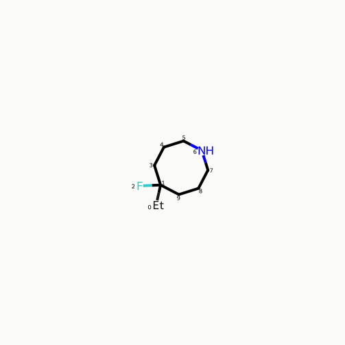 CCC1(F)CCCNCCC1